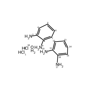 Cl.Cl.Nc1ccccc1N.Nc1ccccc1N.O